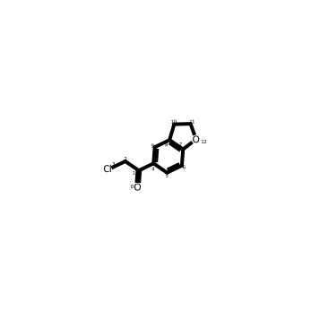 O=C(CCl)c1ccc2c(c1)CCO2